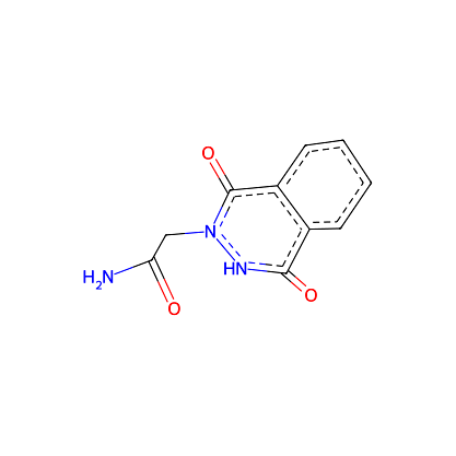 NC(=O)Cn1[nH]c(=O)c2ccccc2c1=O